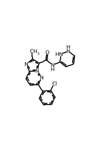 Cc1nc2ccc(-c3ccccc3Cl)nn2c1C(=O)NC1=CC=CNN1